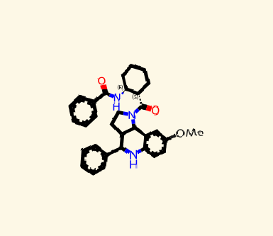 COc1ccc2c(c1)C1C(CCN1C(=O)[C@H]1CCCC[C@H]1NC(=O)c1ccccc1)C(c1ccccc1)N2